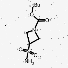 CC(C)(C)OC(=O)N1CC(S(N)(=O)=O)C1